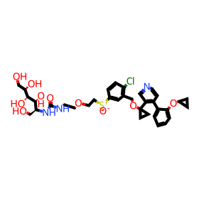 O=C(NCCOCC[S+]([O-])c1ccc(Cl)c(COC2(c3cnccc3-c3ccccc3OC3CC3)CC2)c1)N[C@@H](CO)[C@@H](O)[C@H](O)[C@H](O)CO